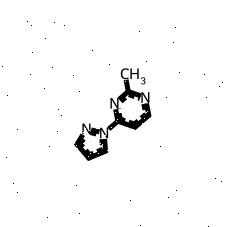 Cc1nccc(-n2cccn2)n1